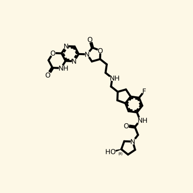 O=C(CN1CC[C@@H](O)C1)Nc1cc(F)c2c(c1)CC(CNCCC1CN(c3cnc4c(n3)NC(=O)CO4)C(=O)O1)C2